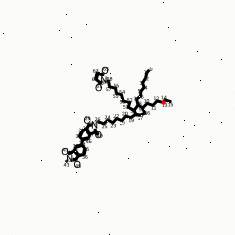 CCCCCCCCC1C(CCCCCC)CCC(CCCCCCCCN2C(=O)c3ccc(-c4ccc5c(c4)C(=O)N(C)C5=O)cc3C2=O)C1CCCCCCCCN1C(=O)C=CC1=O